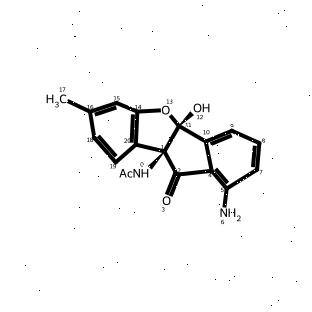 CC(=O)N[C@]12C(=O)c3c(N)cccc3[C@@]1(O)Oc1cc(C)ccc12